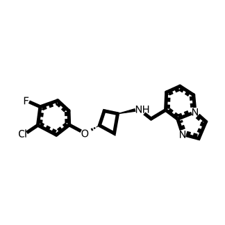 Fc1ccc(O[C@H]2C[C@H](NCc3cccn4ccnc34)C2)cc1Cl